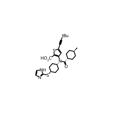 CC(C)(C)C#Cc1cc(N(C(=O)[C@H]2CC[C@H](C)CC2)[C@H]2CC[C@H](Sc3ncc[nH]3)CC2)c(C(=O)O)s1